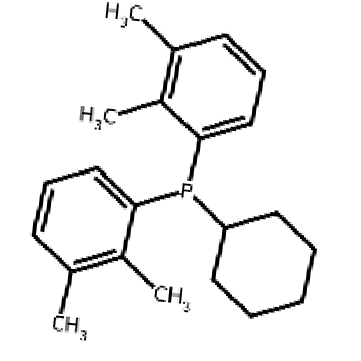 Cc1cccc(P(c2cccc(C)c2C)C2CCCCC2)c1C